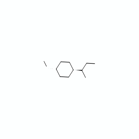 CCC(C)[C@H]1CC[C@H](OC)CC1